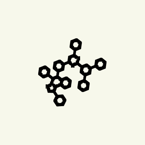 c1ccc(-c2cc(-c3ccccc3)cc(-c3nc(-c4ccccc4)cc(-c4cccc(-c5c(-c6ccccc6)n6ncc(-c7ccccc7)c6c6ccccc56)c4)n3)c2)cc1